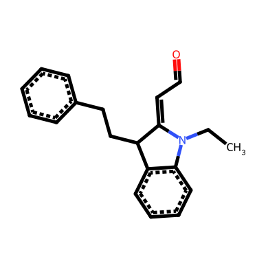 CCN1/C(=C\C=O)C(CCc2ccccc2)c2ccccc21